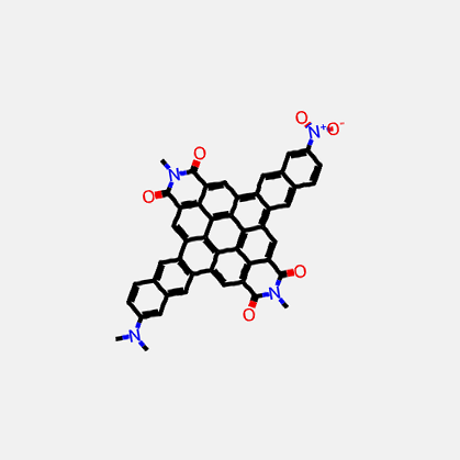 CN(C)c1ccc2cc3c(cc2c1)c1cc2c(=O)n(C)c(=O)c4cc5c6cc7ccc([N+](=O)[O-])cc7cc6c6cc7c(=O)n(C)c(=O)c8cc3c3c1c(c42)c5c6c3c87